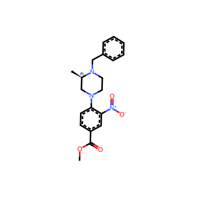 COC(=O)c1ccc(N2CCN(Cc3ccccc3)[C@H](C)C2)c([N+](=O)[O-])c1